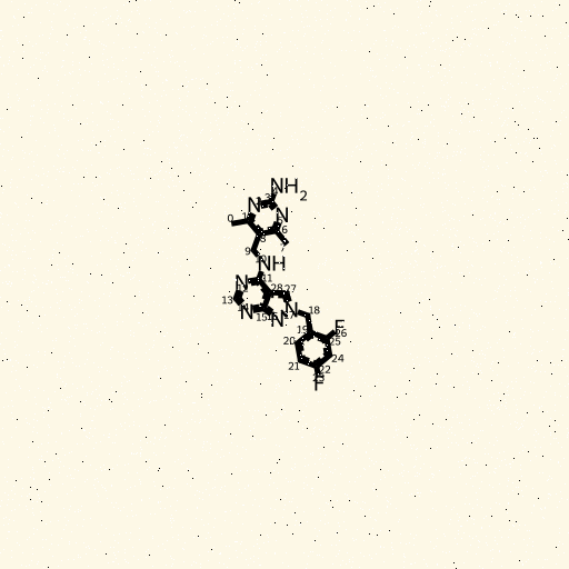 Cc1nc(N)nc(C)c1CNc1ncnc2nn(Cc3ccc(F)cc3F)cc12